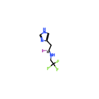 FC(F)(F)CN[C@H](I)Cc1c[nH]cn1